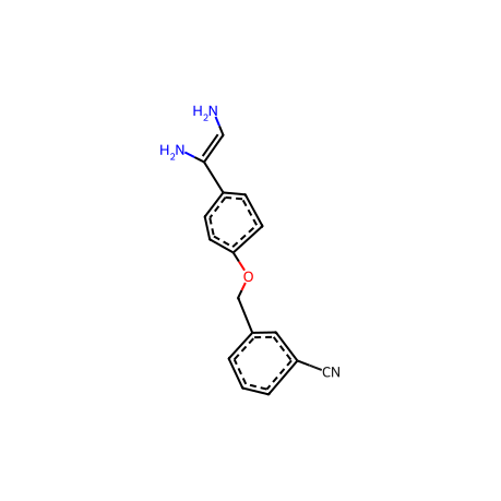 N#Cc1cccc(COc2ccc(/C(N)=C/N)cc2)c1